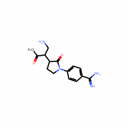 CC(=O)OC(=O)C(CN)C1CCN(c2ccc(C(=N)N)cc2)C1=O